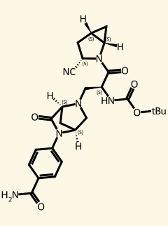 CC(C)(C)OC(=O)N[C@@H](CN1C[C@@H]2C[C@H]1C(=O)N2c1ccc(C(N)=O)cc1)C(=O)N1[C@H](C#N)C[C@@H]2C[C@@H]21